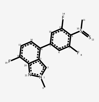 Cn1cc2c(-c3cc(F)c(S(C)=S)c(F)c3)ccc(F)c2n1